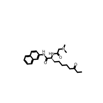 CCC(=O)CCCCC[C@H](NC(=O)CN(C)C)C(=O)Nc1ccc2ccccc2c1